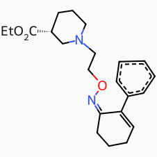 CCOC(=O)[C@@H]1CCCN(CCON=C2CCCC=C2c2ccccc2)C1